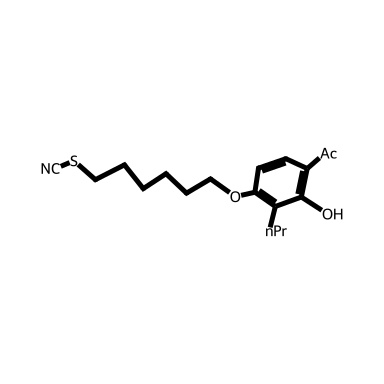 CCCc1c(OCCCCCCSC#N)ccc(C(C)=O)c1O